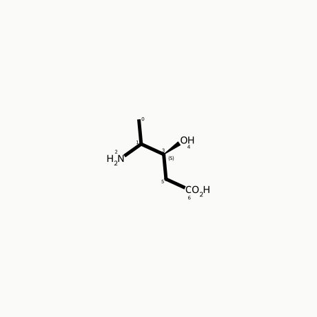 CC(N)[C@@H](O)CC(=O)O